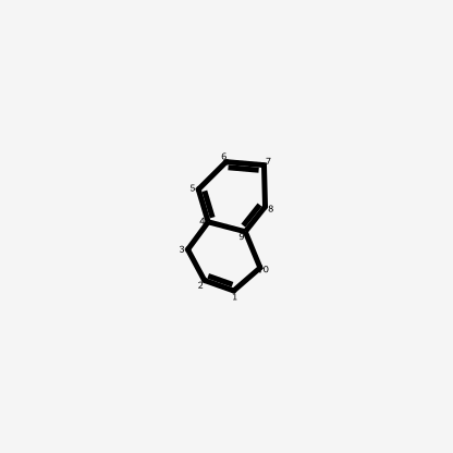 [CH]1C=CCc2ccccc21